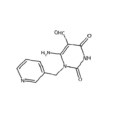 Nc1c(C=O)c(=O)[nH]c(=O)n1Cc1cccnc1